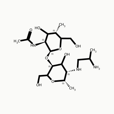 CC(=O)N[C@H]1C(O)[C@H](C)C(CO)O[C@H]1O[C@@H]1C(CO)O[C@@H](C)[C@@H](NCC(C)N)C1O